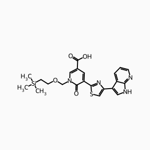 C[Si](C)(C)CCOCn1cc(C(=O)O)cc(-c2nc(-c3c[nH]c4ncccc34)cs2)c1=O